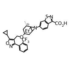 CCC12C(CC(OCc3c(-c4ccccc4C(F)(F)F)noc3C3CC3)C[C@@H]1C)N2c1ccc2c(C(=O)O)nsc2c1